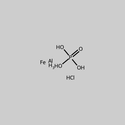 Cl.O=P(O)(O)O.[AlH3].[Fe]